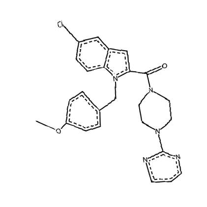 COc1ccc(Cn2c(C(=O)N3CCN(c4ncccn4)CC3)cc3cc(Cl)ccc32)cc1